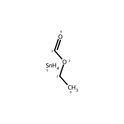 CCOC=O.[SnH4]